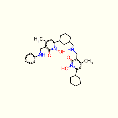 Cc1cc(C2CCCCC2)n(O)c(=O)c1CNCC1CCCC(c2cc(C)c(CNc3ccccc3)c(=O)n2O)C1